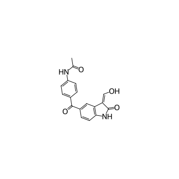 CC(=O)Nc1ccc(C(=O)c2ccc3c(c2)C(=CO)C(=O)N3)cc1